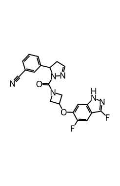 N#Cc1cccc(C2CC=NN2C(=O)N2CC(Oc3cc4[nH]nc(F)c4cc3F)C2)c1